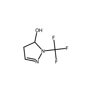 OC1CC=NN1C(F)(F)F